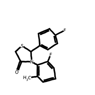 Cc1cccc(F)c1N1C(=O)CSC1c1ccc(F)cc1